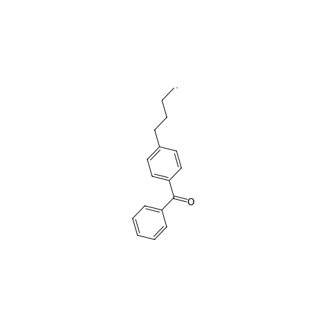 [CH2]CCCc1ccc(C(=O)c2ccccc2)cc1